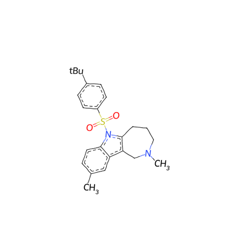 Cc1ccc2c(c1)c1c(n2S(=O)(=O)c2ccc(C(C)(C)C)cc2)CCCN(C)C1